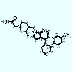 NC(=O)CN1CCC(Cn2ccc3c(N4CCOC[C@@H]4c4ccc(C(F)(F)F)cn4)ncnc32)C(F)C1